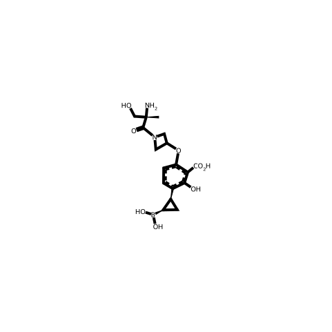 C[C@](N)(CO)C(=O)N1CC(Oc2ccc([C@H]3C[C@H]3B(O)O)c(O)c2C(=O)O)C1